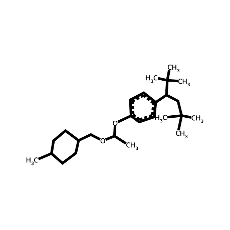 CC1CCC(COC(C)Oc2ccc(C(CC(C)(C)C)C(C)(C)C)cc2)CC1